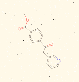 COC(=O)c1ccc(C(=O)Cc2cccnc2)cc1